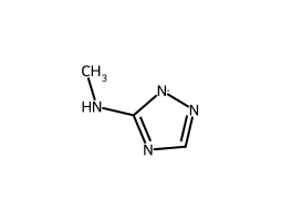 CNC1=NC=N[N]1